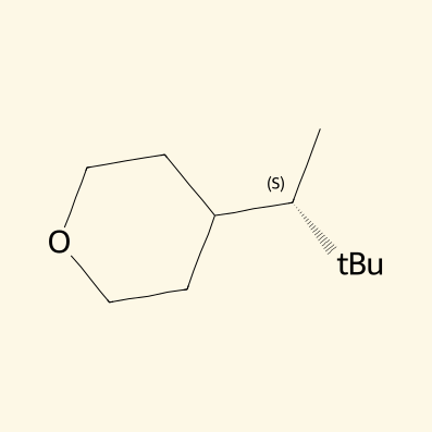 C[C@@H](C1CCOCC1)C(C)(C)C